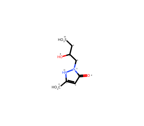 O=C(O)c1cc(=O)n(CC(O)CS(=O)(=O)O)[nH]1